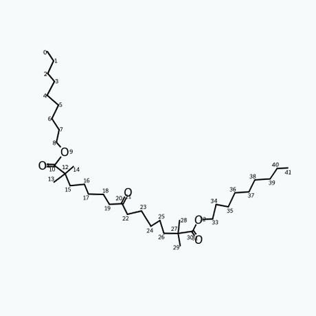 CCCCCCCCCOC(=O)C(C)(C)CCCCCC(=O)CCCCCC(C)(C)C(=O)OCCCCCCCCC